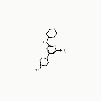 CN1CCN(c2cc(N)nc(NC3CCCCC3)n2)CC1